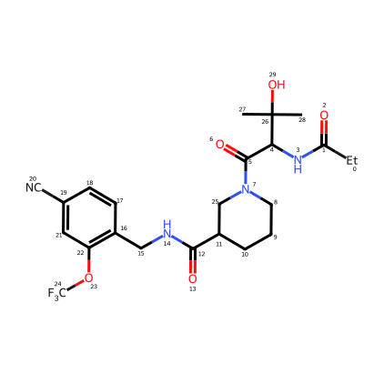 CCC(=O)NC(C(=O)N1CCCC(C(=O)NCc2ccc(C#N)cc2OC(F)(F)F)C1)C(C)(C)O